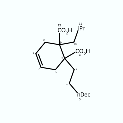 CCCCCCCCCCCCC1(C(=O)O)CC=CCC1(CC(C)C)C(=O)O